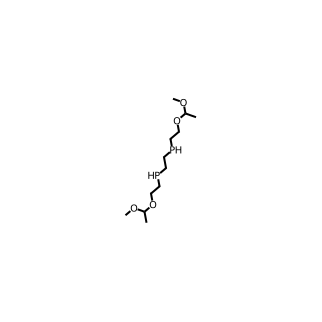 COC(C)OCCPCCPCCOC(C)OC